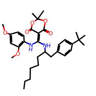 CCCCCCC(Cc1ccc(C(C)(C)C)cc1)NC(Nc1ccc(OC)cc1OC)=C1C(=O)OC(C)(C)OC1=O